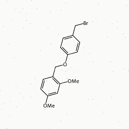 COc1ccc(COc2ccc(CBr)cc2)c(OC)c1